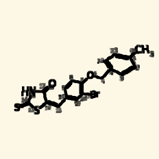 Cc1ccc(COc2ccc(C=C3SC(=S)NC3=O)cc2Br)cc1